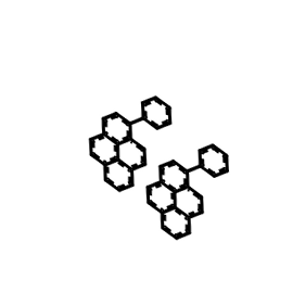 c1ccc(-c2ccc3ccc4cccc5ccc2c3c45)cc1.c1ccc(-c2ccc3ccc4cccc5ccc2c3c45)cc1